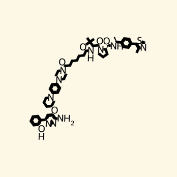 Cc1ncsc1-c1ccc([C@H](C)NC(=O)[C@@H]2CCCN2C(=O)[C@@H](NC(=O)CCCCCC(=O)N2CCN(c3ccc(N4CCCC(Oc5cc(-c6ccccc6O)nnc5N)C4)cc3)CC2)C(C)(C)C)cc1